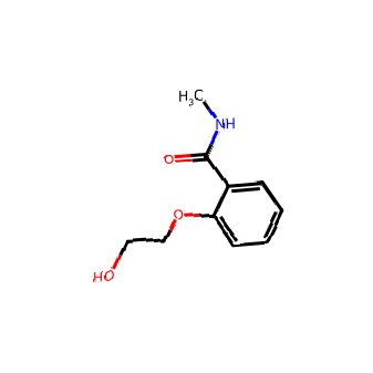 CNC(=O)c1ccccc1OCCO